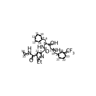 CCn1nc(C(=O)N[C@@H](Cc2ccccc2)[C@H](O)CNCc2cccc(C(F)(F)F)c2)cc1C(=O)NC1CC1